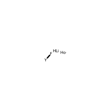 [F][Y].[Ho].[LiH]